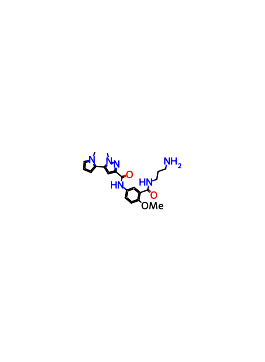 COc1ccc(NC(=O)c2cc(-c3cccn3C)n(C)n2)cc1C(=O)NCCCN